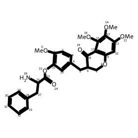 COc1ccc(CC2COc3cc(OC)c(OC)c(OC)c3C2=O)cc1OC(=O)C(N)Cc1ccccc1